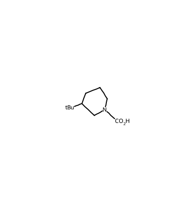 CC(C)(C)C1CCCN(C(=O)O)C1